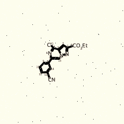 CCOC(=O)c1cc2c(Cl)nc(-c3cccc(C#N)c3)cn2n1